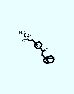 CCS(=O)(=O)CCC12CCC(C(=O)CC3C4CC5CC(C4)CC3C5)(CC1)CC2